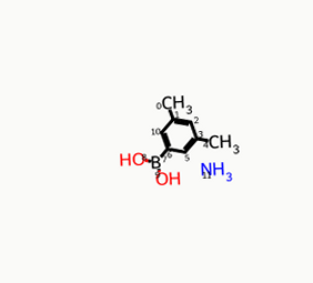 Cc1cc(C)cc(B(O)O)c1.N